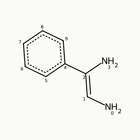 NC=C(N)c1ccccc1